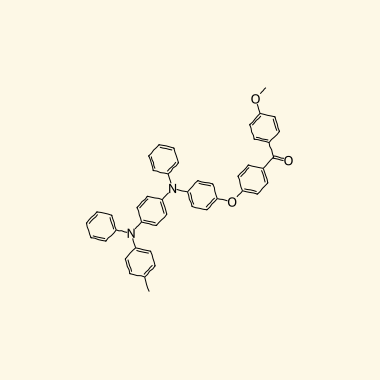 COc1ccc(C(=O)c2ccc(Oc3ccc(N(c4ccccc4)c4ccc(N(c5ccccc5)c5ccc(C)cc5)cc4)cc3)cc2)cc1